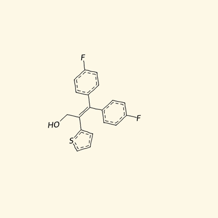 OCC(=C(c1ccc(F)cc1)c1ccc(F)cc1)c1cccs1